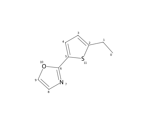 CCc1ccc(-c2ncco2)s1